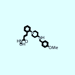 COc1ccc(CNC2CCN(c3ccccc3/C=C/C(=O)NO)CC2)cc1